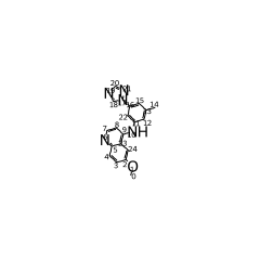 COc1ccc2nccc(Nc3cc(C)cc(-n4cncn4)c3)c2c1